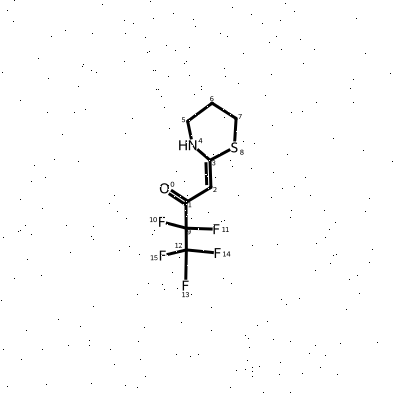 O=C(C=C1NCCCS1)C(F)(F)C(F)(F)F